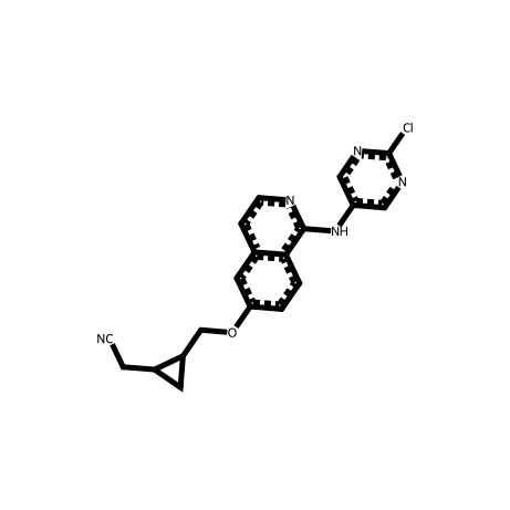 N#CCC1CC1COc1ccc2c(Nc3cnc(Cl)nc3)nccc2c1